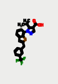 CC(C)c1c(C(=O)O)cnn1-c1cccc2cc(Cc3cccc(C(F)(F)F)c3)sc12